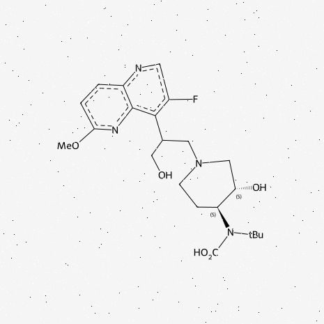 COc1ccc2ncc(F)c(C(CO)CN3CC[C@H](N(C(=O)O)C(C)(C)C)[C@@H](O)C3)c2n1